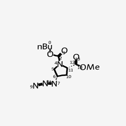 CCCCOC(=O)N1C[C@@H](N=[N+]=[N-])C[C@H]1C(=O)OC